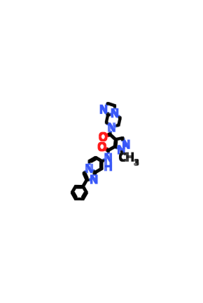 Cn1ncc(C(=O)N2CCN3CCN=C3C2)c1C(=O)Nc1ccn2cc(-c3ccccc3)nc2c1